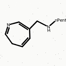 CCCCCNCC1=CN=CCC=C1